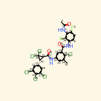 CC(=O)Nc1c(F)ccc(NC(=O)c2cc(NC(=O)C3[C@H](c4cc(Cl)c(Cl)c(Cl)c4)C3(Cl)Cl)cc(C)c2Cl)c1F